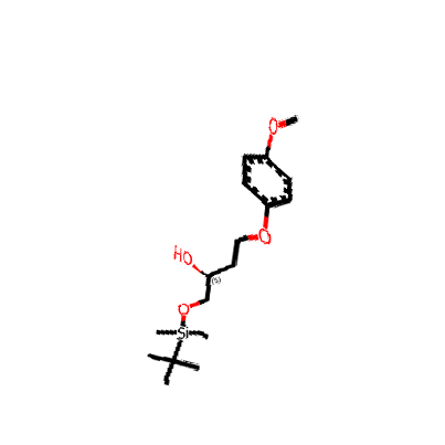 COc1ccc(OCC[C@H](O)CO[Si](C)(C)C(C)(C)C)cc1